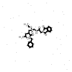 CCOP(=O)(CNC(=O)CN1C(=O)c2ccccc2C1=O)CC(CC(C)C)C(=O)OCc1ccccc1